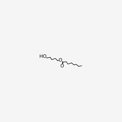 CCCCCCCC(=O)OCCCCCO